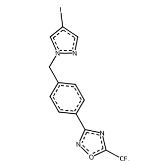 FC(F)(F)c1nc(-c2ccc(Cn3cc(I)cn3)cc2)no1